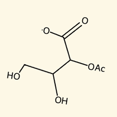 CC(=O)OC(C([O])=O)C(O)CO